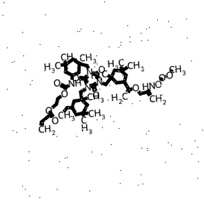 C=CC(=O)OCCOC(=O)NC1CC(C)(C)CC(C)(Cn2c(=O)n(CC3(C)CC(CC)CC(C)(C)C3)c(=O)n(CC3(C)CC(C(=C)OCC(=C)NOOOC)CC(C)(C)C3)c2=O)C1